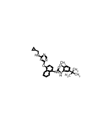 COc1ccc(C(C)(C)C)cc1NC(=O)Nc1ccc(Oc2ncnc(NCC3CC3)n2)c2ccccc12